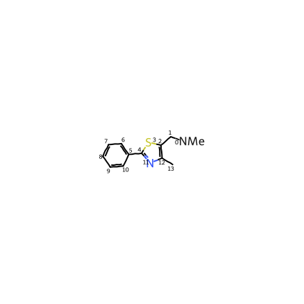 CNCc1sc(-c2ccccc2)nc1C